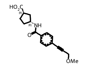 COCC#Cc1ccc(C(=O)N[C@@H]2CC[C@@H](C(=O)O)C2)cc1